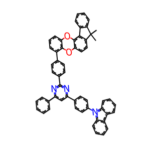 CC1(C)c2ccccc2-c2c1ccc1c2Oc2cccc(-c3ccc(-c4nc(-c5ccccc5)cc(-c5ccc(-n6c7ccccc7c7ccccc76)cc5)n4)cc3)c2O1